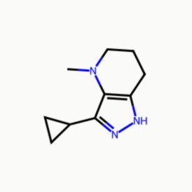 CN1CCCc2[nH]nc(C3CC3)c21